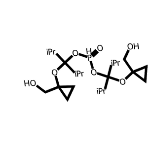 CC(C)C(O[PH](=O)OC(OC1(CO)CC1)(C(C)C)C(C)C)(OC1(CO)CC1)C(C)C